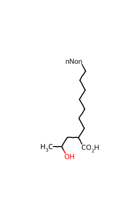 CCCCCCCCCCCCCCCCC(CC(C)O)C(=O)O